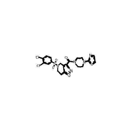 O=C(c1noc2c1CN(S(=O)(=O)c1ccc(Cl)c(Cl)c1)CC2)N1CCN(c2nccs2)CC1